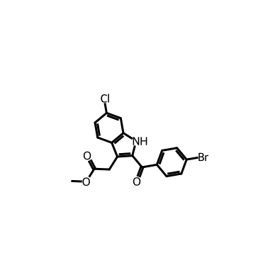 COC(=O)Cc1c(C(=O)c2ccc(Br)cc2)[nH]c2cc(Cl)ccc12